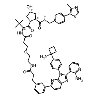 Cc1ncsc1-c1ccc(CNC(=O)[C@@H]2C[C@@H](O)CN2C(=O)[C@@H](NC(=O)CCOCCNC(=O)CCc2cccc(-c3ccc4nc(-c5cccnc5N)n(-c5ccc(C6(N)CCC6)cc5)c4n3)c2)C(C)(C)C)cc1